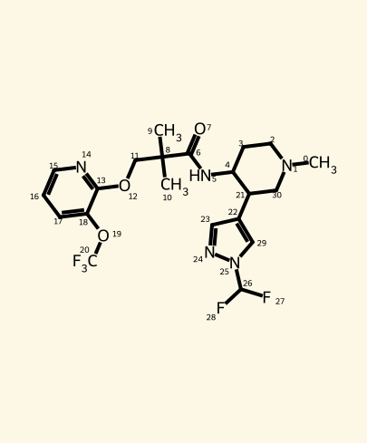 CN1CCC(NC(=O)C(C)(C)COc2ncccc2OC(F)(F)F)C(c2cnn(C(F)F)c2)C1